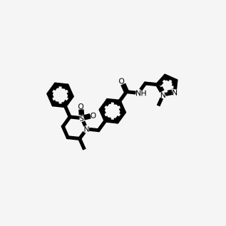 CC1CCC(c2ccccc2)S(=O)(=O)N1Cc1ccc(C(=O)NCc2ccnn2C)cc1